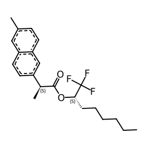 CCCCCC[C@H](OC(=O)[C@@H](C)c1ccc2cc(C)ccc2c1)C(F)(F)F